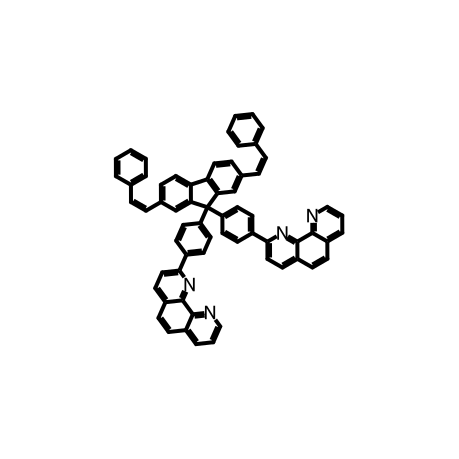 C(=C/c1ccc2c(c1)C(c1ccc(-c3ccc4ccc5cccnc5c4n3)cc1)(c1ccc(-c3ccc4ccc5cccnc5c4n3)cc1)c1cc(/C=C\c3ccccc3)ccc1-2)/c1ccccc1